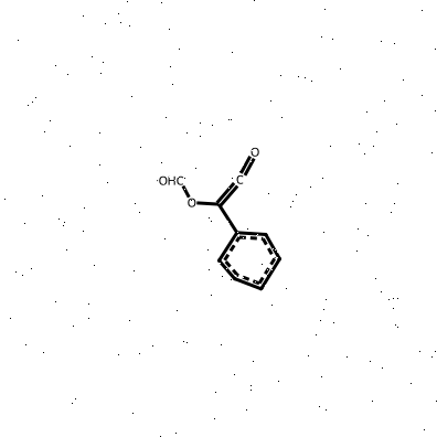 O=[C]OC(=C=O)c1ccccc1